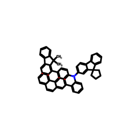 CC1(C)c2ccccc2-c2cccc(-c3ccc(N(c4ccc5c(c4)C4(CCCC4)c4ccccc4-5)c4ccccc4-c4ccc5c(ccc6ccccc65)c4)cc3)c21